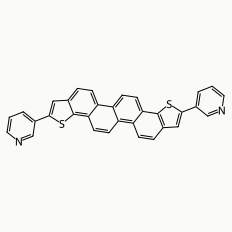 c1cncc(-c2cc3ccc4c5ccc6c(ccc7cc(-c8cccnc8)sc76)c5ccc4c3s2)c1